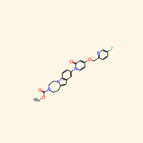 CC(C)(C)OC(=O)N1CCc2cc3cc(-n4ccc(OCc5ccc(F)cn5)cc4=O)ccc3n2CC1